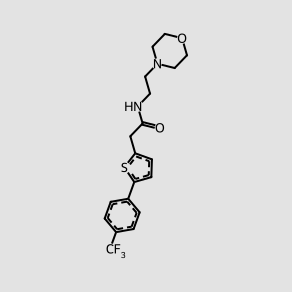 O=C(Cc1ccc(-c2ccc(C(F)(F)F)cc2)s1)NCCN1CCOCC1